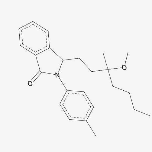 CCCCC(C)(CCC1c2ccccc2C(=O)N1c1ccc(C)cc1)OC